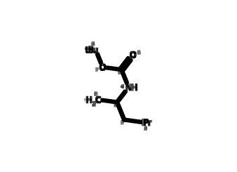 [CH2]C(CC(C)C)NC(=O)OC(C)(C)C